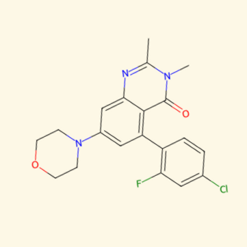 Cc1nc2cc(N3CCOCC3)cc(-c3ccc(Cl)cc3F)c2c(=O)n1C